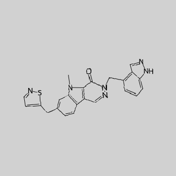 Cn1c2cc(Cc3ccns3)ccc2c2cnn(Cc3cccc4[nH]ncc34)c(=O)c21